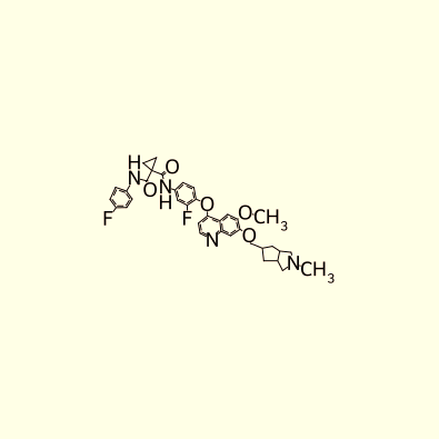 COc1cc2c(Oc3ccc(NC(=O)C4(C(=O)Nc5ccc(F)cc5)CC4)cc3F)ccnc2cc1OCC1CC2CN(C)CC2C1